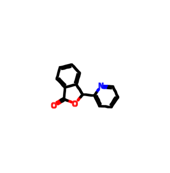 O=C1OC(c2ccccn2)c2ccccc21